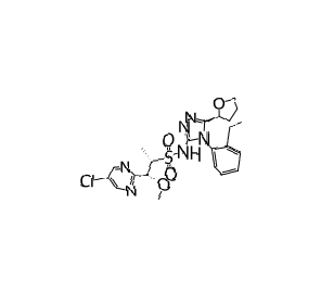 CCc1ccccc1-n1c(NS(=O)(=O)[C@@H](C)[C@H](OC)c2ncc(Cl)cn2)nnc1[C@@H]1CCCO1